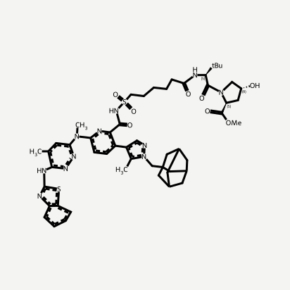 COC(=O)[C@@H]1C[C@@H](O)CN1C(=O)[C@@H](NC(=O)CCCCCS(=O)(=O)NC(=O)c1nc(N(C)c2cc(C)c(Nc3nc4ccccc4s3)nn2)ccc1-c1cnn(CC23CC4CC(CC(C4)C2)C3)c1C)C(C)(C)C